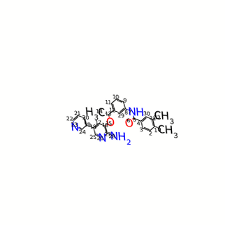 Cc1ccc(C(=O)Nc2cccc([C@@H](C)Oc3cc(-c4cccnc4)cnc3N)c2)cc1C